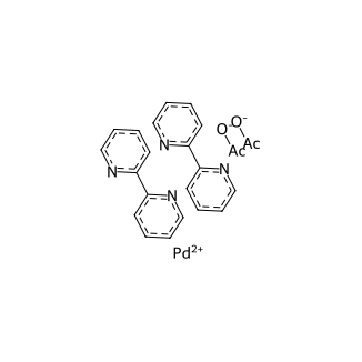 CC(=O)[O-].CC(=O)[O-].[Pd+2].c1ccc(-c2ccccn2)nc1.c1ccc(-c2ccccn2)nc1